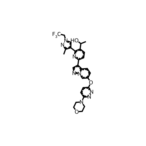 Cc1nn(CC(F)(F)F)cc1-c1nc(-c2cnn3cc(Oc4ccc(N5CCOCC5)nn4)ccc23)ccc1C(C)O